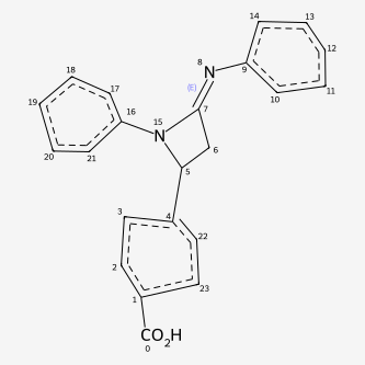 O=C(O)c1ccc(C2C/C(=N\c3ccccc3)N2c2ccccc2)cc1